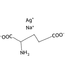 NC(CCC(=O)[O-])C(=O)[O-].[Ag+].[Na+]